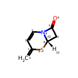 C=C1C=CN2C(=O)C[C@@H]2S1